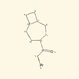 CC(C)CC(=O)C1CCC2CCC2CC1